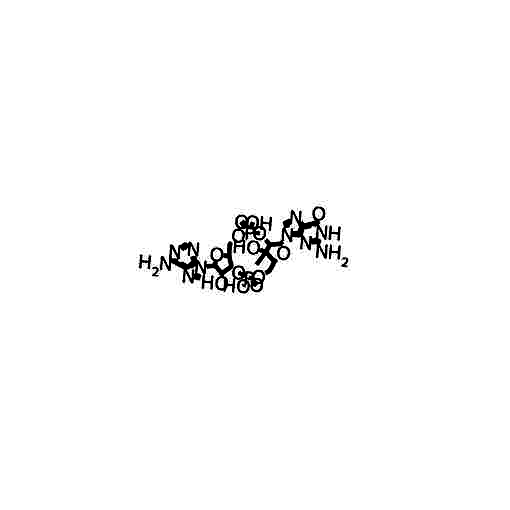 CC1(O)C2COP(=O)(O)OC3C(COP(=O)(O)OC1C(n1cnc4c(=O)[nH]c(N)nc41)O2)OC(n1cnc2c(N)ncnc21)C3O